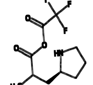 CC(C[C@@H]1CCCN1)C(=O)OC(=O)C(F)(F)F